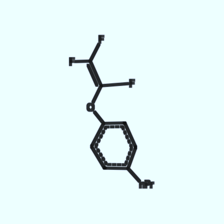 [CH2]CCc1ccc(OC(F)=C(F)F)cc1